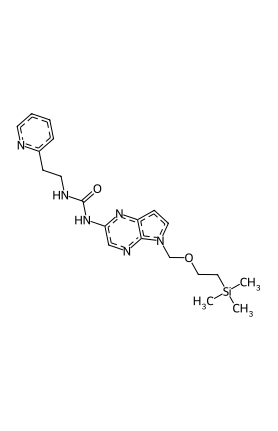 C[Si](C)(C)CCOCn1ccc2nc(NC(=O)NCCc3ccccn3)cnc21